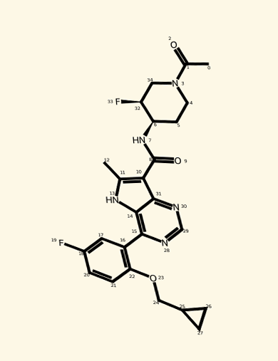 CC(=O)N1CC[C@@H](NC(=O)c2c(C)[nH]c3c(-c4cc(F)ccc4OCC4CC4)ncnc23)[C@@H](F)C1